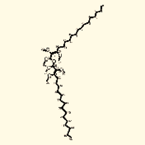 CCCCCCCCCCCCCCCC(OC)=C(OC)C(OC)OC(OC)C(OC)=C(CCCCCCCCCCCCCCC)OC